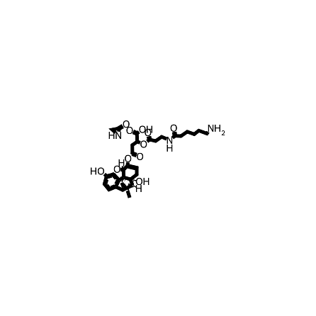 CN1CC[C@]23c4c5ccc(O)c4O[C@H]2C(OC(=O)CC(OC(=O)CCNC(=O)CCCCCN)C(=O)O)=CC[C@@]3(O)[C@H]1C5.O=C1CN1